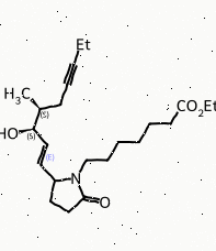 CCC#CC[C@H](C)[C@H](O)/C=C/C1CCC(=O)N1CCCCCCC(=O)OCC